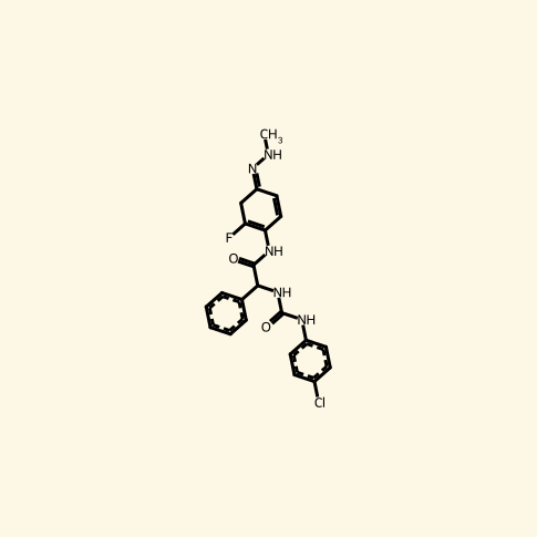 CNN=C1C=CC(NC(=O)C(NC(=O)Nc2ccc(Cl)cc2)c2ccccc2)=C(F)C1